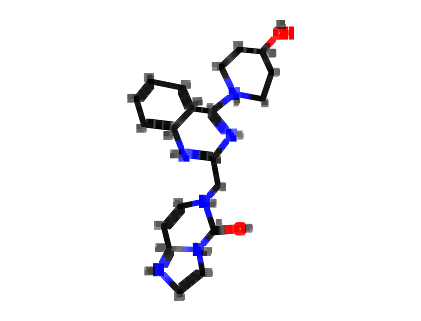 O=c1n(Cc2nc(N3CCC(O)CC3)c3ccccc3n2)ccc2nccn12